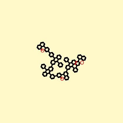 c1ccc(-c2c3ccccc3c(-c3ccc(-c4ccc5c(c4)Oc4cccc6cccc-5c46)cc3)c3ccc(-c4ccc5c(-c6cccc(-c7ccc8c(c7)Oc7cccc9cc(-c%10ccc%11c(-c%12ccccc%12)c%12ccccc%12c(-c%12ccccc%12-c%12ccc%13c(c%12)Oc%12cccc%14cccc-%13c%12%14)c%11c%10)cc-8c79)c6)c6ccccc6c(-c6ccccc6)c5c4)cc23)cc1